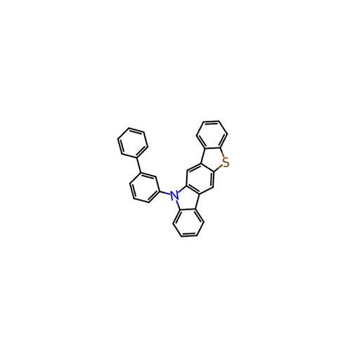 c1ccc(-c2cccc(-n3c4ccccc4c4cc5sc6ccccc6c5cc43)c2)cc1